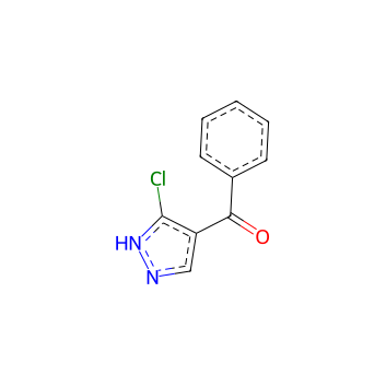 O=C(c1ccccc1)c1cn[nH]c1Cl